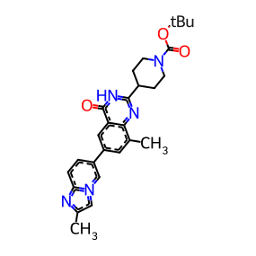 Cc1cn2cc(-c3cc(C)c4nc(C5CCN(C(=O)OC(C)(C)C)CC5)[nH]c(=O)c4c3)ccc2n1